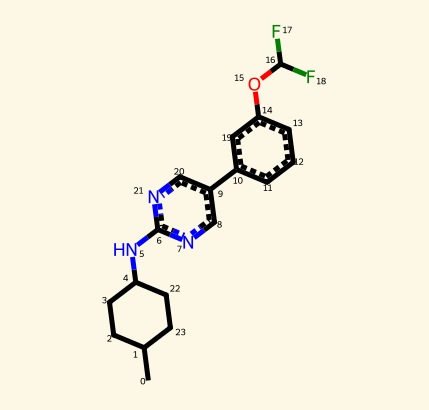 CC1CCC(Nc2ncc(-c3cccc(OC(F)F)c3)cn2)CC1